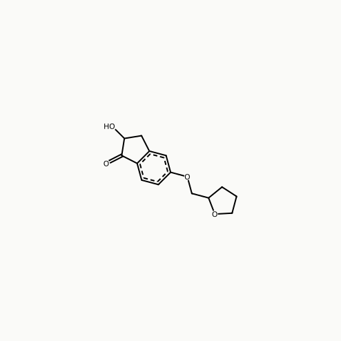 O=C1c2ccc(OCC3CCCO3)cc2CC1O